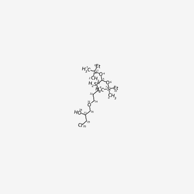 CC[Si](C)(C)OC(O[Si](C)(C)CC)[SiH2]CCCOCC(O)CCl